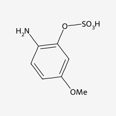 COc1ccc(N)c(OS(=O)(=O)O)c1